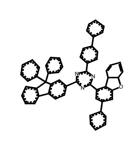 C1=CC2Oc3cc(-c4ccccc4)cc(-c4nc(-c5ccc(-c6ccccc6)cc5)nc(-c5ccc6c(c5)C(c5ccccc5)(c5ccccc5)c5ccccc5-6)n4)c3C2C=C1